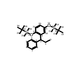 [CH2]CC(c1ccccc1)c1cc(O[Si](C)(C)C(C)(C)C)ccc1O[Si](C)(C)C(C)(C)C